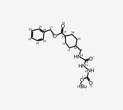 CC(C)(C)OC(=O)NNC(=O)NCC1CCC(C(=O)OCc2ccccc2)CC1